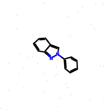 c1ccc(-n2cc3ccccc3n2)cc1